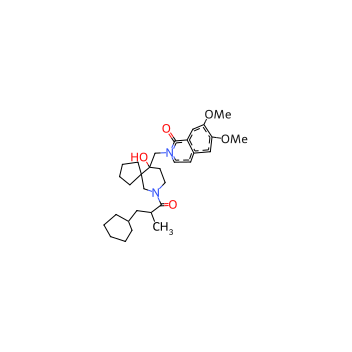 COc1cc2ccn(CC3(O)CCN(C(=O)C(C)CC4CCCCC4)CC34CCCC4)c(=O)c2cc1OC